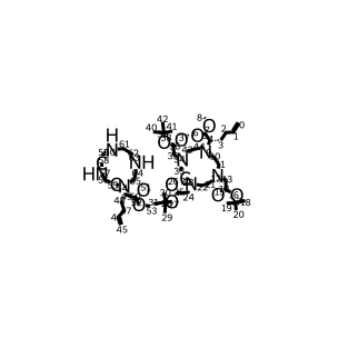 C=CCC[C@@H](C(=O)OC)N1CCN(CC(=O)OC(C)(C)C)CCN(CC(=O)OC(C)(C)C)CCN(CC(=O)OC(C)(C)C)CC1.C=CCC[C@@H](C(=O)OC)N1CCNCCNCCNCC1